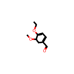 CCOC1=CC=C(C=O)CC1OC